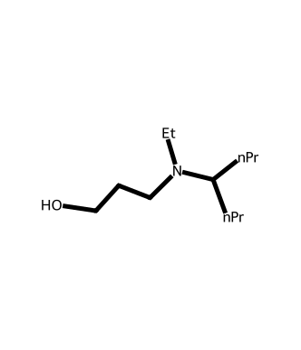 CCCC(CCC)N(CC)CCCO